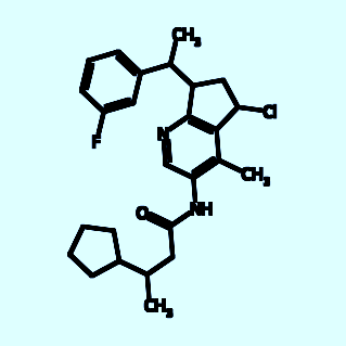 Cc1c(NC(=O)CC(C)C2CCCC2)cnc2c1C(Cl)CC2C(C)c1cccc(F)c1